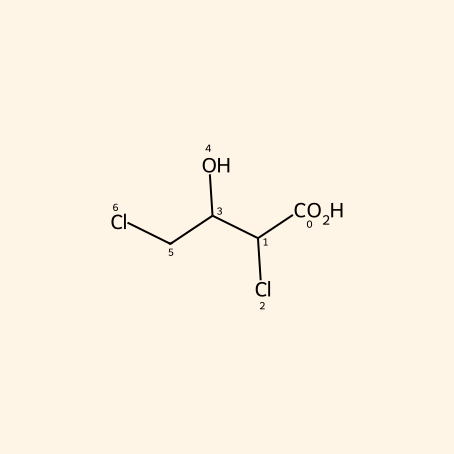 O=C(O)C(Cl)C(O)CCl